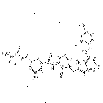 CN(C)C(=O)C=CCCC(OC(N)=O)C(=O)Nc1cccn(Cc2nc3cccc(OCc4ccc(F)cc4F)c3[nH]2)c1=O